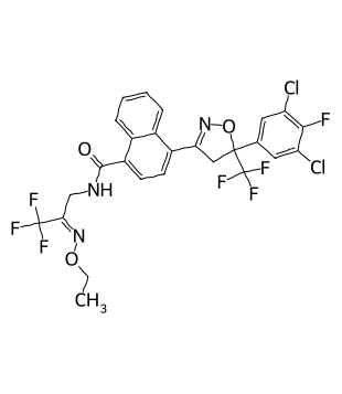 CCON=C(CNC(=O)c1ccc(C2=NOC(c3cc(Cl)c(F)c(Cl)c3)(C(F)(F)F)C2)c2ccccc12)C(F)(F)F